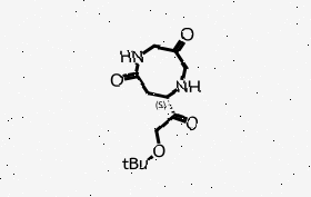 CC(C)(C)OCC(=O)[C@@H]1CC(=O)NCC(=O)CN1